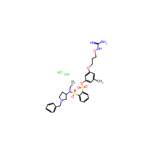 CCN(C1CCN(Cc2ccccc2)C1)S(=O)(=O)c1ccccc1S(=O)(=O)Oc1cc(C)cc(OCCCONC(=N)N)c1.Cl.Cl